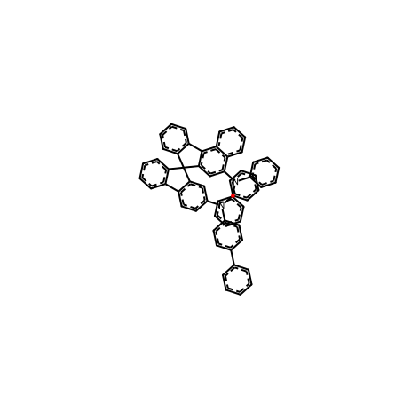 c1ccc(-c2ccc(N(c3ccccc3)c3ccc4c(c3)C3(c5ccccc5-4)c4ccccc4-c4c3cc(N(c3ccccc3)c3ccccc3)c3ccccc43)cc2)cc1